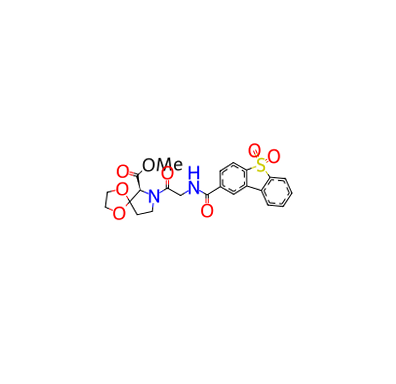 COC(=O)[C@H]1N(C(=O)CNC(=O)c2ccc3c(c2)-c2ccccc2S3(=O)=O)CCC12OCCO2